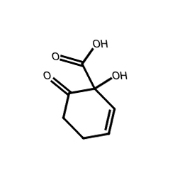 O=C(O)C1(O)C=CCCC1=O